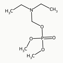 CCN(CC)COP(=O)(OC)OC